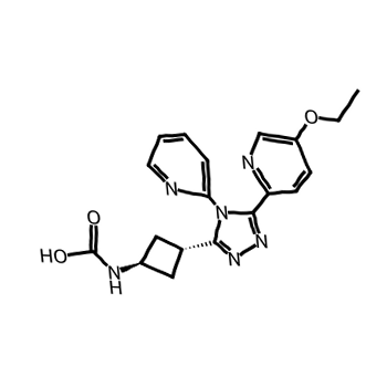 CCOc1ccc(-c2nnc([C@H]3C[C@H](NC(=O)O)C3)n2-c2ccccn2)nc1